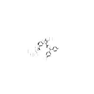 CC(CO)NC(=O)c1cccc(N(C2CN(C(c3ccc(Cl)cc3)c3ccc(Cl)cc3)C2)S(C)(=O)=O)c1